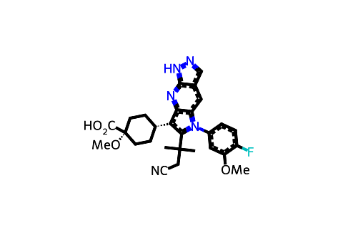 COc1cc(-n2c(C(C)(C)CC#N)c([C@H]3CC[C@](OC)(C(=O)O)CC3)c3nc4[nH]ncc4cc32)ccc1F